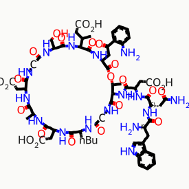 CCCCC1NC(=O)CNC(=O)C(NC(=O)C(CC(=O)O)NC(=O)[C@H](CC(N)=O)NC(=O)[C@H](N)Cc2c[nH]c3ccccc23)C(C)OC(=O)C(CC(=O)c2ccccc2N)NC(=O)C(C(C)CC(=O)O)NC(=O)C(CO)NC(=O)CNC(=O)C(CC(=O)O)NC(=O)C(C)NC(=O)C(CC(=O)O)NC1=O